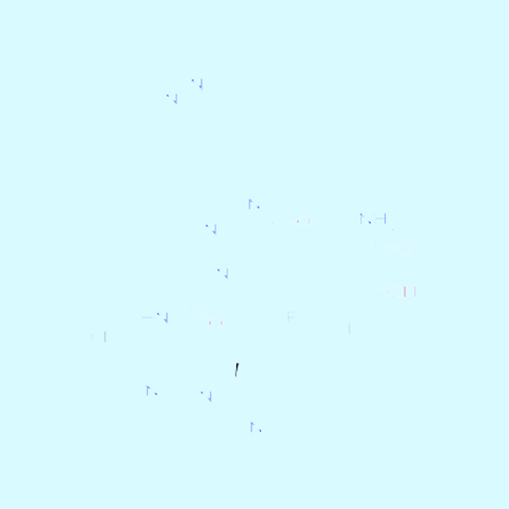 C[C@H]1CN(C)CCN1c1cc(NC(=O)Cn2cc(-c3cc(C(N)=O)c(O)c(F)c3F)c3c(=O)n(CC#Cc4cnn(C)c4)cnc32)c(Cl)cn1